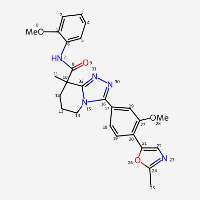 COc1ccccc1NC(=O)C1(C)CCCn2c(-c3ccc(-c4cnc(C)o4)c(OC)c3)nnc21